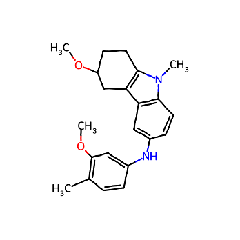 COc1cc(Nc2ccc3c(c2)c2c(n3C)CCC(OC)C2)ccc1C